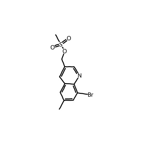 Cc1cc(Br)c2ncc(COS(C)(=O)=O)cc2c1